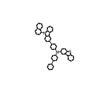 c1ccc(-c2ccc(N(c3ccc(-c4ccc5c(c4)c4ccccc4n5-c4cccc5ccccc45)cc3)c3ccc4sc5ccccc5c4c3)cc2)cc1